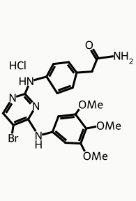 COc1cc(Nc2nc(Nc3ccc(CC(N)=O)cc3)ncc2Br)cc(OC)c1OC.Cl